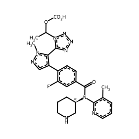 Cc1cccnc1N(C(=O)c1ccc(-c2cnn(C)c2-c2nnnn2C(C)OC(=O)O)c(F)c1)[C@@H]1CCCNC1